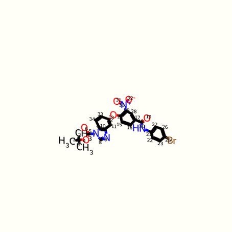 CC(C)(C)OC(=O)n1cnc2cc(Oc3ccc(C(=O)Nc4ccc(Br)cc4)cc3[N+](=O)[O-])ccc21